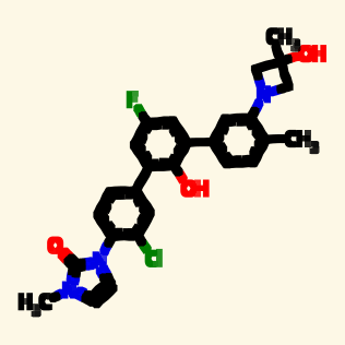 Cc1ccc(-c2cc(F)cc(-c3ccc(-n4c#cn(C)c4=O)c(Cl)c3)c2O)cc1N1CC(C)(O)C1